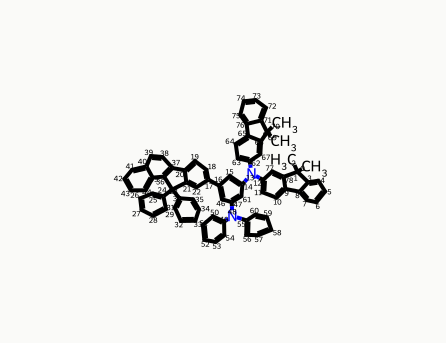 CC1(C)c2ccccc2-c2ccc(N(c3cc(-c4ccc5c(c4)C(c4ccccc4)(c4ccccc4)c4c-5ccc5ccccc45)cc(N(c4ccccc4)c4ccccc4)c3)c3ccc4c(c3)C(C)(C)c3ccccc3-4)cc21